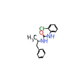 CC(Cc1ccccc1)NC(=O)Nc1ccccc1Cl